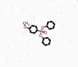 COc1ccc(P(=O)(Oc2ccccc2)Oc2ccccc2)cc1